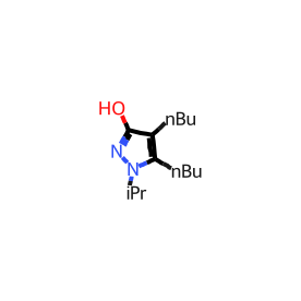 CCCCc1c(O)nn(C(C)C)c1CCCC